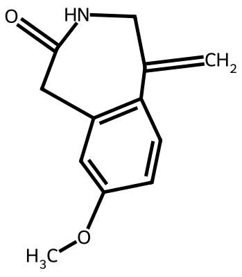 C=C1CNC(=O)Cc2cc(OC)ccc21